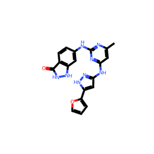 Cc1cc(Nc2cc(-c3ccco3)[nH]n2)nc(Nc2ccc3c(=O)[nH][nH]c3c2)n1